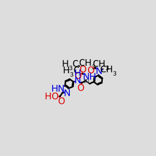 CC(=O)N(C)c1cccc(C[C@H](NC(=O)OC(C)(C)C)C(=O)Nc2ccc3[nH]c(C(=O)O)nc3c2)c1